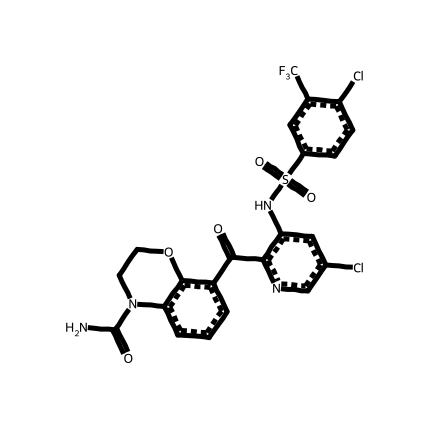 NC(=O)N1CCOc2c(C(=O)c3ncc(Cl)cc3NS(=O)(=O)c3ccc(Cl)c(C(F)(F)F)c3)cccc21